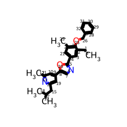 CCc1cc(-c2ncc(-c3cc(C)nc(CC(C)C)c3)o2)cc(C)c1OCc1ccccc1